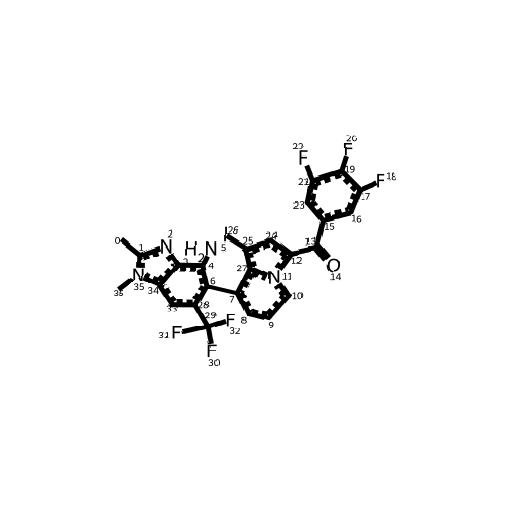 Cc1nc2c(N)c(-c3cccn4c(C(=O)c5cc(F)c(F)c(F)c5)cc(I)c34)c(C(F)(F)F)cc2n1C